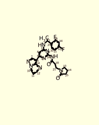 CC(Nc1cc(-c2cnn3cccnc23)nc(NC(=O)CCN2CCCC2=O)n1)c1ccc(F)cc1F